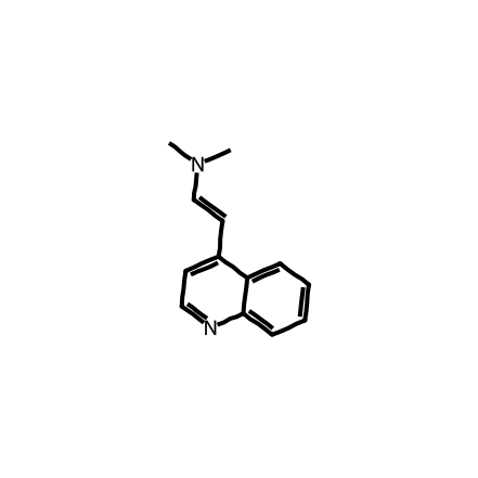 CN(C)C=Cc1ccnc2ccccc12